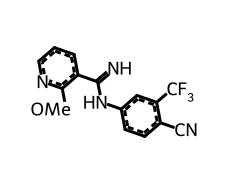 COc1ncccc1C(=N)Nc1ccc(C#N)c(C(F)(F)F)c1